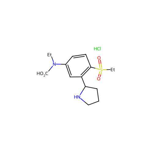 CCN(C(=O)O)c1ccc(S(=O)(=O)CC)c(C2CCCN2)c1.Cl